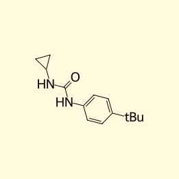 CC(C)(C)c1ccc(NC(=O)NC2CC2)cc1